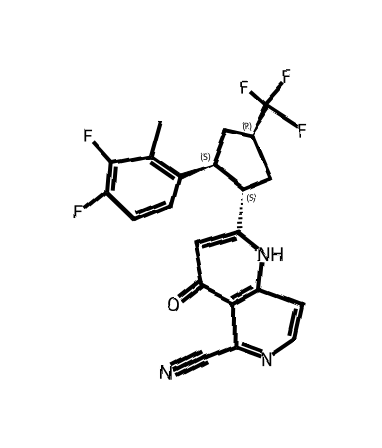 Cc1c([C@H]2C[C@@H](C(F)(F)F)C[C@@H]2c2cc(=O)c3c(C#N)nccc3[nH]2)ccc(F)c1F